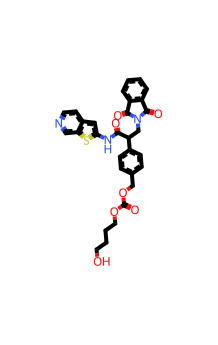 O=C(OCCCCO)OCc1ccc(C(CN2C(=O)c3ccccc3C2=O)C(=O)Nc2cc3ccncc3s2)cc1